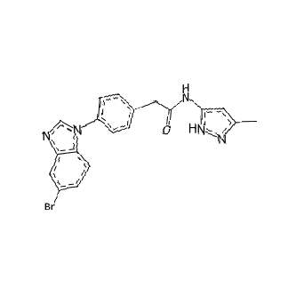 Cc1cc(NC(=O)Cc2ccc(-n3cnc4cc(Br)ccc43)cc2)[nH]n1